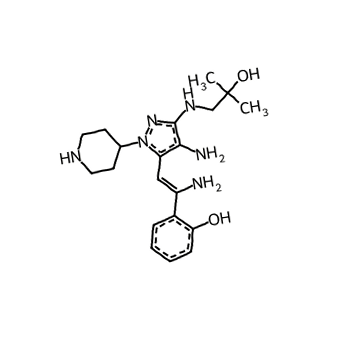 CC(C)(O)CNc1nn(C2CCNCC2)c(/C=C(\N)c2ccccc2O)c1N